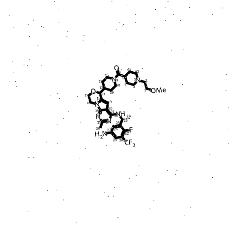 COCCN1CCC(C(=O)N2CCC(C3OCCn4c3cc3c(N[C@H](C)c5cc(N)cc(C(F)(F)F)c5F)nc(C)nc34)CC2)CC1